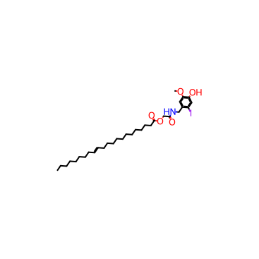 CCCCCCCC/C=C/CCCCCCCCCCCC(=O)OCC(=O)NCc1cc(OC)c(O)cc1I